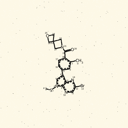 Cc1cc(-c2cn(SI)c3ncc(Br)nc23)ccc1C(=O)N1CC2(COC2)C1